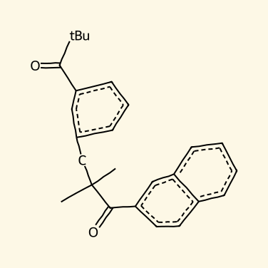 CC(C)(C)C(=O)c1cccc(CC(C)(C)C(=O)c2ccc3ccccc3c2)c1